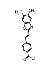 Cc1cc2nc(C=Cc3ccc(C(=O)Cl)cc3)oc2cc1C